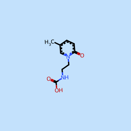 Cc1ccc(=O)n(CCNC(=O)O)c1